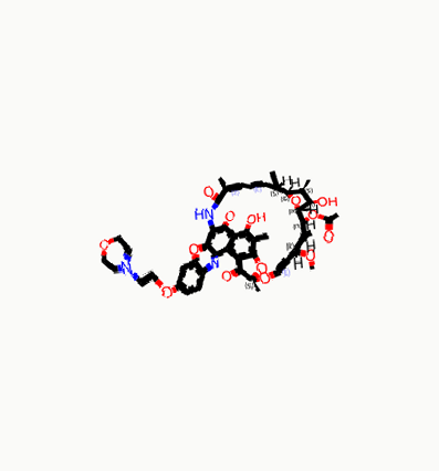 CO[C@H]1/C=C/O[C@@]2(C)Oc3c(C)c(O)c4c(=O)c(c5oc6cc(OCCN7CCOCC7)ccc6nc-5c4c3C2=O)NC(=O)/C(C)=C\C=C\[C@H](C)[C@@H]2O[C@H]([C@H](O)[C@@H]2C)[C@H](OC(C)=O)[C@@H]1C